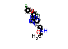 C=CC(=O)N[C@@H]1CC[C@@H](C[C@H]2CCN=C(c3ccc(Oc4cccc(F)c4)cc3F)c3c(N)ncnc32)C1